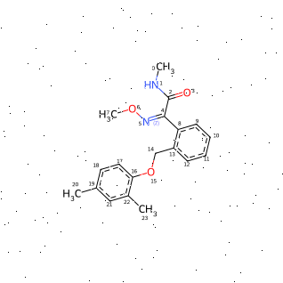 CNC(=O)/C(=N\OC)c1ccccc1COc1ccc(C)cc1C